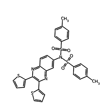 Cc1ccc(S(=O)(=O)N(c2ccc3nc(-c4cccs4)c(-c4cccs4)nc3c2)S(=O)(=O)c2ccc(C)cc2)cc1